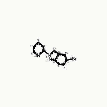 Brc1ccc2nn(-c3ccccn3)cc2c1